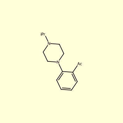 CC(=O)c1ccccc1N1CCN(C(C)C)CC1